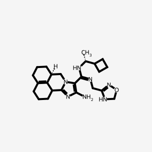 C[C@@H](N/C(=N/CC1=NOCN1)c1c(N)nc2n1C[C@@H]1CCCC3=C1C2CCC3)C1CCC1